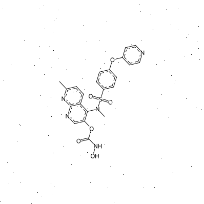 Cc1ccc2c(N(C)S(=O)(=O)c3ccc(Oc4ccncc4)cc3)c(OC(=O)NO)cnc2n1